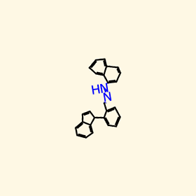 C1=CC(c2ccccc2C=NNc2cccc3ccccc23)c2ccccc21